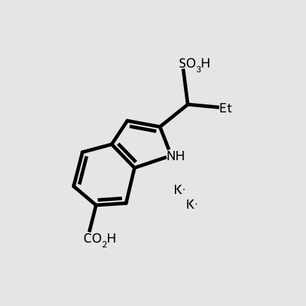 CCC(c1cc2ccc(C(=O)O)cc2[nH]1)S(=O)(=O)O.[K].[K]